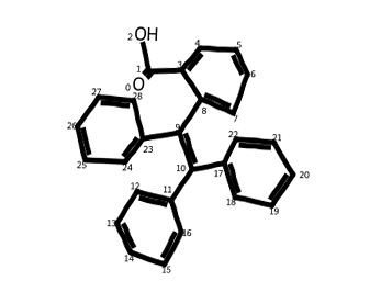 O=C(O)c1ccccc1C(=C(c1ccccc1)c1ccccc1)c1ccccc1